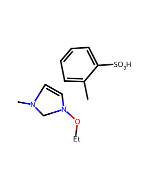 CCON1C=CN(C)C1.Cc1ccccc1S(=O)(=O)O